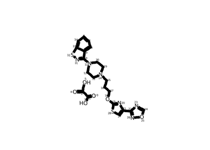 O=C(O)C(=O)O.c1ccc2c(N3CCN(CCCOc4nc(-c5ncon5)cs4)CC3)nsc2c1